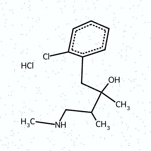 CNCC(C)C(C)(O)Cc1ccccc1Cl.Cl